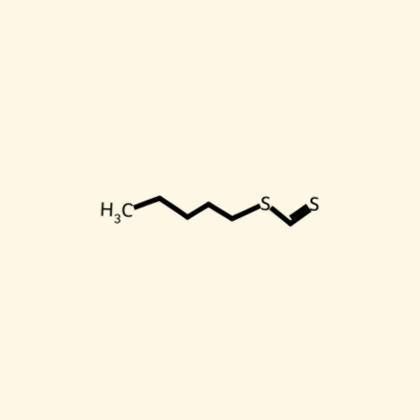 CCCCCSC=S